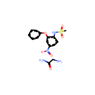 CS(=O)(=O)Nc1ccc([N+](=O)[O-])cc1Oc1ccccc1.NCC(N)=O